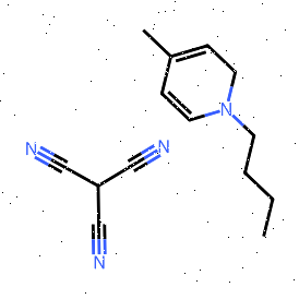 CCCCN1C=CC(C)=CC1.N#CC(C#N)C#N